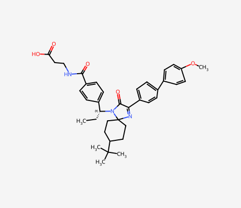 CC[C@H](c1ccc(C(=O)NCCC(=O)O)cc1)N1C(=O)C(c2ccc(-c3ccc(OC)cc3)cc2)=NC12CCC(C(C)(C)C)CC2